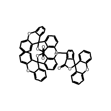 O=C1OC2(c3ccccc3Oc3ccccc32)c2ccc[c]([Al]([c]3cccc4c3C(=O)OC43c4ccccc4Oc4ccccc43)[c]3cccc4c3C(=O)OC43c4ccccc4Oc4ccccc43)c21